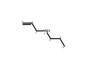 C=CCNCCC